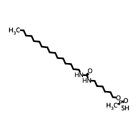 CCCCCCCCCCCCCCCCNC(=O)NCCCCCCOP(C)(=O)S